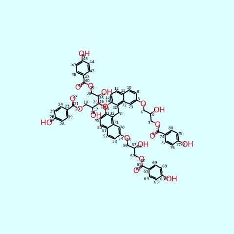 O=C(OCC(O)COc1ccc2ccc(OCC(O)COC(=O)c3ccc(O)cc3)c(Cc3c(OCC(O)COC(=O)c4ccc(O)cc4)ccc4ccc(OCC(O)COC(=O)c5ccc(O)cc5)cc34)c2c1)c1ccc(O)cc1